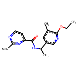 CNc1nccc(C(=O)NC(C)c2cnc(OCC(F)(F)F)c(C)c2)n1